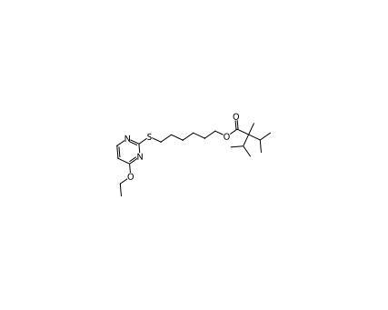 CCOc1ccnc(SCCCCCCOC(=O)C(C)(C(C)C)C(C)C)n1